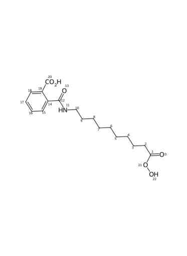 O=C(CCCCCCCCCNC(=O)c1ccccc1C(=O)O)OO